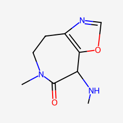 CNC1C(=O)N(C)CCc2ncoc21